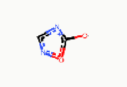 [O]c1ncno1